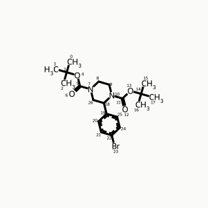 CC(C)(C)OC(=O)N1CCN(C(=O)OC(C)(C)C)C(c2ccc(Br)cc2)C1